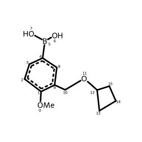 COc1ccc(B(O)O)cc1COC1CCC1